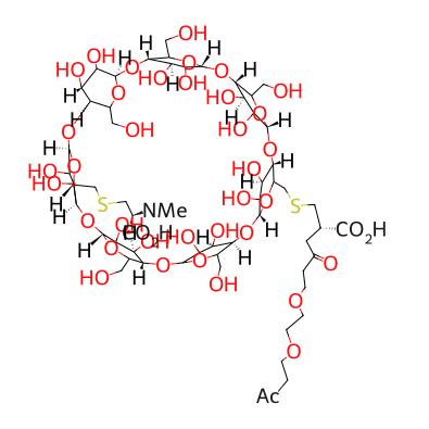 CN[C@H](CSCC1O[C@@H]2O[C@@H]3C(CO)O[C@H](O[C@@H]4C(CO)O[C@H](O[C@@H]5C(CO)O[C@H](O[C@@H]6C(CSC[C@@H](CC(=O)CCOCCOCCC(C)=O)C(=O)O)O[C@H](O[C@H]7C(CO)OC(O[C@@H]8C(CO)O[C@H](O[C@H]1[C@H](O)C2O)C(O)[C@H]8O)C(O)[C@H]7O)C(O)[C@H]6O)C(O)[C@H]5O)C(O)[C@H]4O)C(O)[C@H]3O)C(=O)O